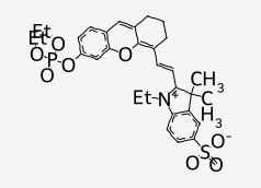 CCOP(=O)(OCC)Oc1ccc2c(c1)OC1=C(C=CC3=[N+](CC)c4ccc(S(=O)(=O)[O-])cc4C3(C)C)CCCC1=C2